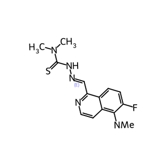 CNc1c(F)ccc2c(/C=N/NC(=S)N(C)C)nccc12